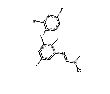 CCN(C)C=Nc1cc(F)cc(Nc2ccc(F)cc2F)c1C